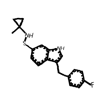 CC1(NSc2ccc3c(Cc4ccc(F)cc4)c[nH]c3c2)CC1